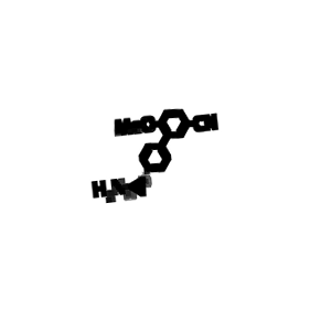 COc1ccc(C#N)cc1-c1ccc([C@@H]2C[C@H]2N)cc1